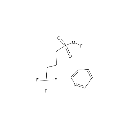 O=S(=O)(CCCC(F)(F)F)OF.c1ccncc1